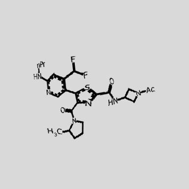 CCCNc1cc(C(F)F)c(-c2sc(C(=O)NC3CN(C(C)=O)C3)nc2C(=O)N2CCCC2C)cn1